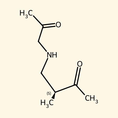 CC(=O)CNC[C@H](C)C(C)=O